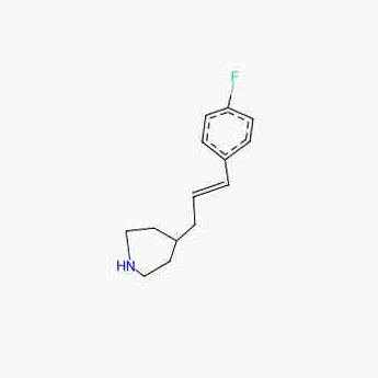 Fc1ccc(C=CCC2CCNCC2)cc1